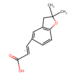 CC1(C)Cc2cc(/C=C/C(=O)O)ccc2O1